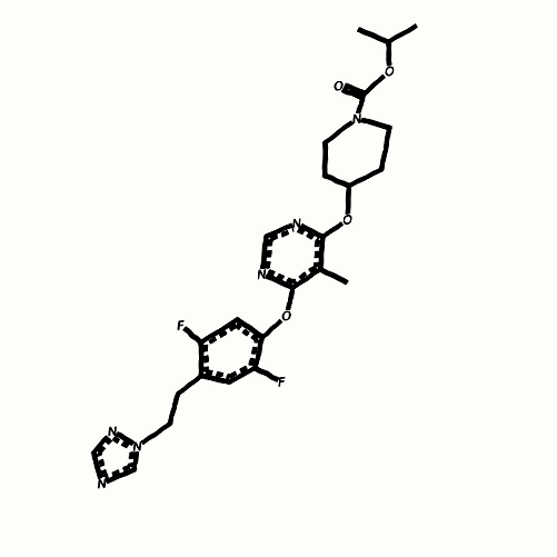 Cc1c(Oc2cc(F)c(CCn3cncn3)cc2F)ncnc1OC1CCN(C(=O)OC(C)C)CC1